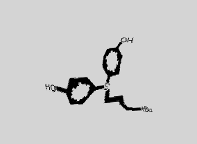 CC(C)(C)CCC[S+](c1ccc(O)cc1)c1ccc(O)cc1